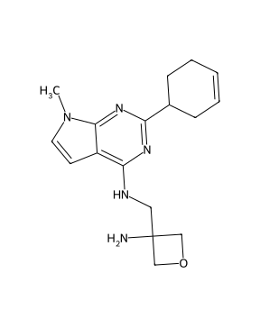 Cn1ccc2c(NCC3(N)COC3)nc(C3CC=CCC3)nc21